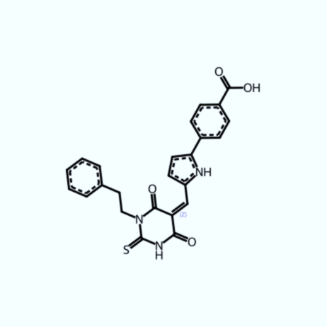 O=C1NC(=S)N(CCc2ccccc2)C(=O)/C1=C\c1ccc(-c2ccc(C(=O)O)cc2)[nH]1